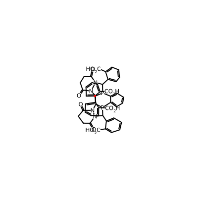 O=C(O)c1ccccc1C1N2C(=O)CCC(=O)N2C(c2ccccc2C(=O)O)P1c1ccccc1P1C(c2ccccc2C(=O)O)N2C(=O)CCC(=O)N2C1c1ccccc1C(=O)O